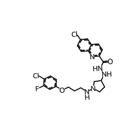 O=C(NNC1CCN(NCCCOc2ccc(Cl)c(F)c2)C1)c1ccc2cc(Cl)ccc2n1